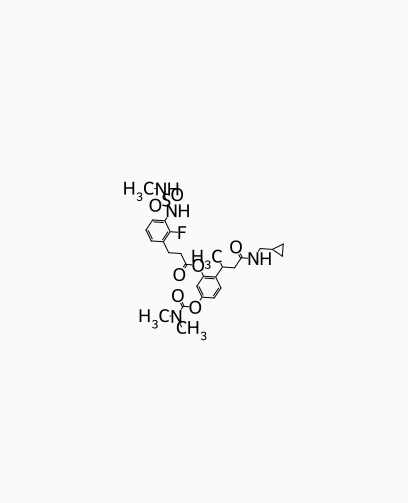 CNS(=O)(=O)Nc1cccc(CCC(=O)Oc2cc(OC(=O)N(C)C)ccc2C(C)CC(=O)NCC2CC2)c1F